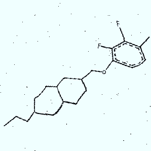 CCCC1CCC2CC(COc3ccc(C)c(F)c3F)CCC2C1